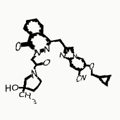 CC1(O)CCN(C(=O)Cn2nc(Cc3cn4cc(OCC5CC5)c(C#N)cc4n3)c3ccccc3c2=O)C1